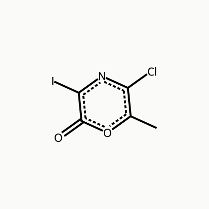 Cc1oc(=O)c(I)nc1Cl